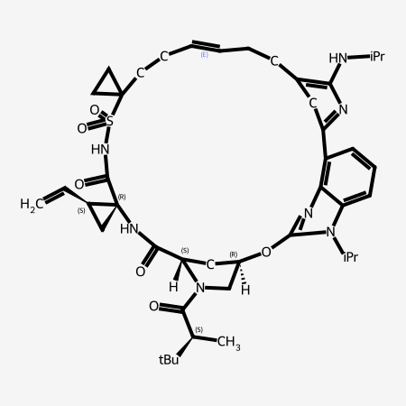 C=C[C@@H]1C[C@@]12NC(=O)[C@@H]1C[C@H](CN1C(=O)[C@@H](C)C(C)(C)C)Oc1nc3c(cccc3n1C(C)C)C1=NC(NC(C)C)=C(CC/C=C/CCC3(CC3)S(=O)(=O)NC2=O)C1